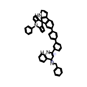 N/C(=C\C(=N/Cc1ccccc1)c1ccccc1)c1cccc(-c2ccc(-c3ccc4c(c3)C3(C5=C4C=CCN5)c4ccccc4N(c4ccccc4)c4ccccc43)cc2)c1